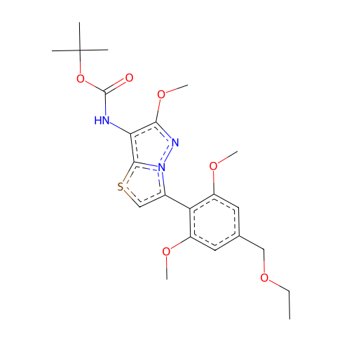 CCOCc1cc(OC)c(-c2csc3c(NC(=O)OC(C)(C)C)c(OC)nn23)c(OC)c1